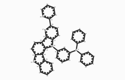 c1ccc(N(c2ccccc2)c2cccc(-n3c4ccc(-c5ccccn5)nc4c4ccc5sc6ccccc6c5c43)c2)cc1